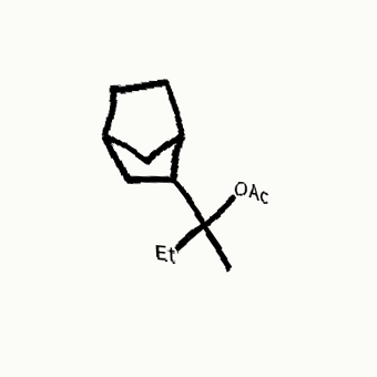 CCC(C)(OC(C)=O)C1CC2CCC1C2